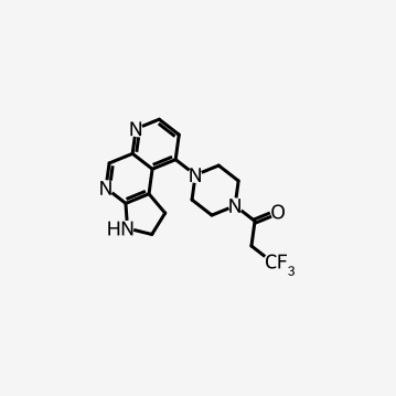 O=C(CC(F)(F)F)N1CCN(c2ccnc3cnc4c(c23)CCN4)CC1